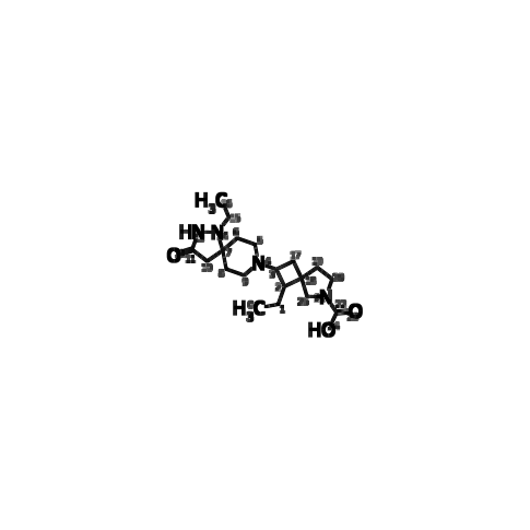 CCC1C(N2CCC3(CC2)CC(=O)NN3CC)CC12CCN(C(=O)O)C2